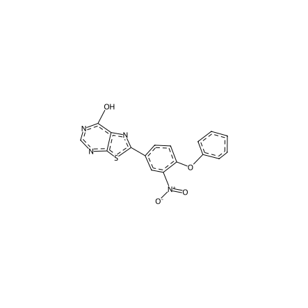 O=[N+]([O-])c1cc(-c2nc3c(O)ncnc3s2)ccc1Oc1ccccc1